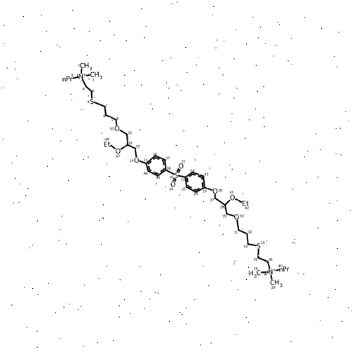 CCC[N+](C)(C)CCSCCCOCC(COc1ccc(S(=O)(=O)c2ccc(OCC(COCCCSCC[N+](C)(C)CCC)OCC)cc2)cc1)OCC